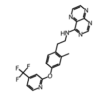 Cc1cc(Oc2cc(C(F)(F)F)ccn2)ccc1CCNc1ncnc2nccnc12